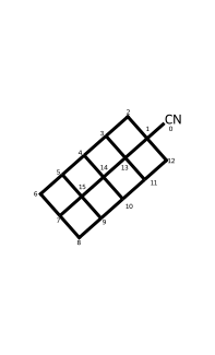 N#CC12CC3C4C5CC6CC7C8C(C1)C32C48C657